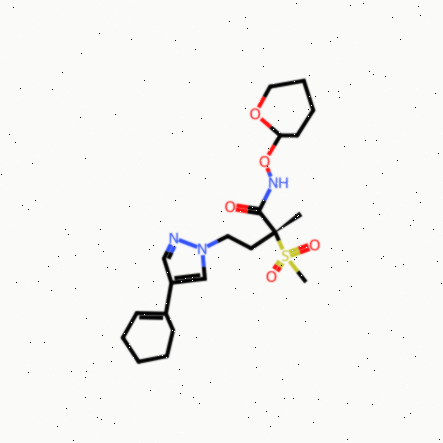 C[C@@](CCn1cc(C2=CCCCC2)cn1)(C(=O)NOC1CCCCO1)S(C)(=O)=O